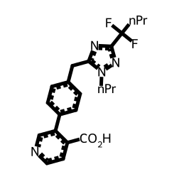 CCCn1nc(C(F)(F)CCC)nc1Cc1ccc(-c2cnccc2C(=O)O)cc1